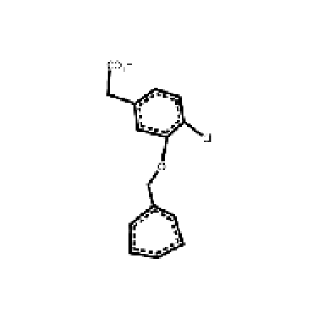 O=C(O)Cc1ccc(Cl)c(OCc2ccccc2)c1